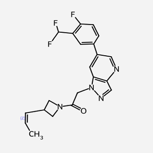 C/C=C\C1CN(C(=O)Cn2ncc3ncc(-c4ccc(F)c(C(F)F)c4)cc32)C1